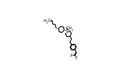 C=CCCC[C@H]1CC[C@H]([Si]2(C)CCC(CCc3ccc(C=C(F)F)cc3)CC2)CC1